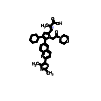 C/C(=C\c1cc(C2CCCCC2)c(-c2ccc3nc(-c4sc(C)nc4C)ccc3c2)n1CC(=O)N1CCOCC1)C(=O)O